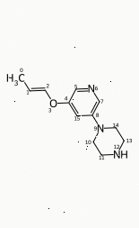 C/C=C/Oc1cncc(N2CCNCC2)c1